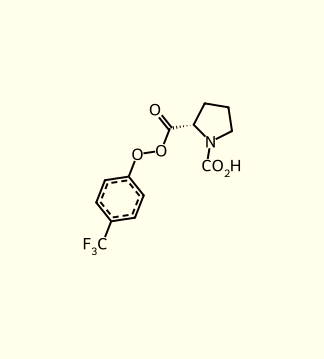 O=C(OOc1ccc(C(F)(F)F)cc1)[C@@H]1CCCN1C(=O)O